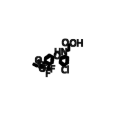 CCS(=O)(=O)c1ccc(Oc2cc(Cl)ccc2NCC(=O)O)cc1C(F)(F)F